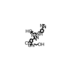 Cc1nn2c(NCc3cccc(-c4nccn4C)c3)cc(C(C)(C)O)nc2c1-c1ccc(Cl)c(C(=O)N(C)CCCO)c1